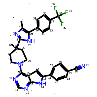 Cc1nc(C2(C)CCN(c3ncnc4[nH]c(-c5ccc(C#N)cc5)cc34)CC2)[nH]c1-c1ccc(C(F)(F)F)cc1